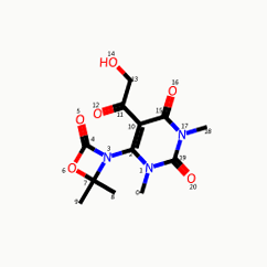 Cn1c(N2C(=O)OC2(C)C)c(C(=O)CO)c(=O)n(C)c1=O